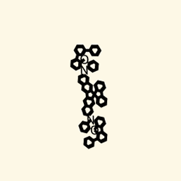 c1ccc(-c2cccc3c2oc2c(N(c4ccccc4)c4ccc5cc6c(cc5c4)C4(c5ccccc5-c5ccccc54)c4cc5cc(N(c7ccccc7)c7cccc8c7oc7c(-c9ccccc9)cccc78)ccc5cc4-6)cccc23)cc1